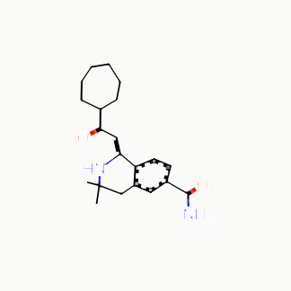 CC1(C)Cc2cc(C(N)=O)ccc2/C(=C/C(=O)C2CCCCCC2)N1